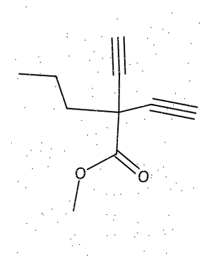 C#CC(C#C)(CCC)C(=O)OC